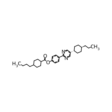 CCCCC1CCC(C(=O)Oc2ccc(-c3ncc([C@H]4CC[C@H](CCC)CC4)cn3)cc2)CC1